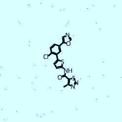 Cc1nnsc1C(=O)Nc1ccc(-c2cc(-c3cnco3)ccc2Cl)s1